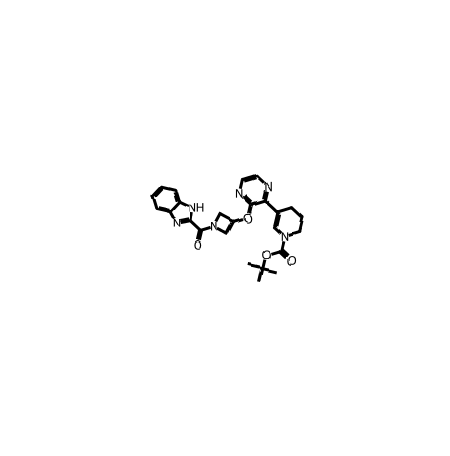 CC(C)(C)OC(=O)N1C=C(c2nccnc2OC2CN(C(=O)c3nc4ccccc4[nH]3)C2)CCC1